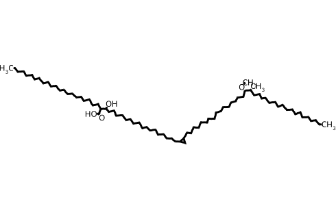 CCCCCCCCCCCCCCCCCCCCCCC(C(=O)O)C(O)CCCCCCCCCCCCCCCCCC1CC1CCCCCCCCCCCCCCCCC(OC)C(C)CCCCCCCCCCCCCCCCCC